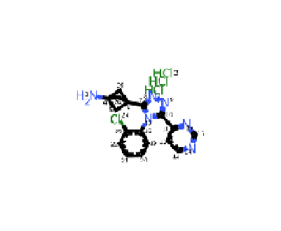 Cl.Cl.Cl.NC12CC(c3nnc(-c4ccncn4)n3-c3ccccc3Cl)(C1)C2